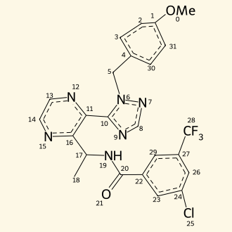 COc1ccc(Cn2ncnc2-c2nccnc2C(C)NC(=O)c2cc(Cl)cc(C(F)(F)F)c2)cc1